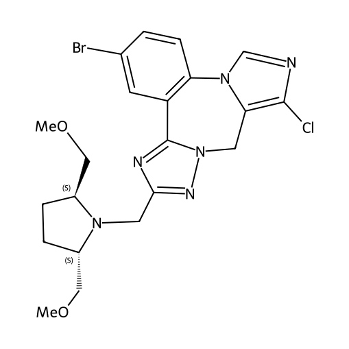 COC[C@@H]1CC[C@@H](COC)N1Cc1nc2n(n1)Cc1c(Cl)ncn1-c1ccc(Br)cc1-2